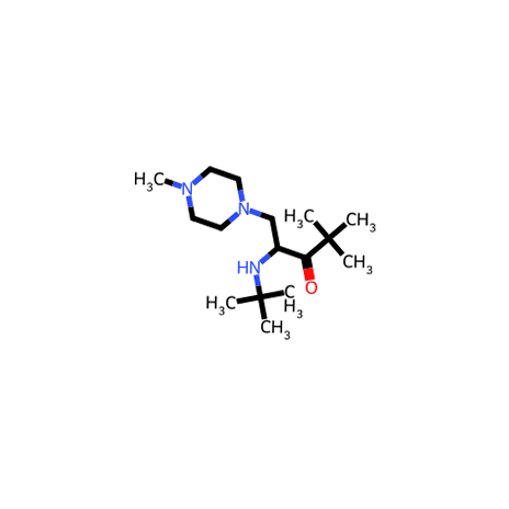 CN1CCN(CC(NC(C)(C)C)C(=O)C(C)(C)C)CC1